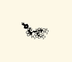 CC(C)(C)OC(=O)N(CCC[C@H]1C[C@]1(C(=O)O)c1cn(-c2ccc(C#N)cc2)cn1)C(=O)OC(C)(C)C